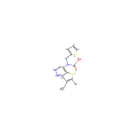 Cc1c(Br)sc2c(N(Cc3cccs3)C(=O)O)cnnc12